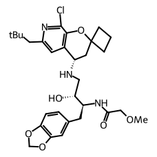 COCC(=O)N[C@@H](Cc1ccc2c(c1)OCO2)[C@H](O)CN[C@H]1CC2(CCC2)Oc2c1cc(CC(C)(C)C)nc2Cl